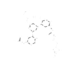 COC(=O)Nc1cc(-c2cc(-c3cc(NC(=O)NCCC4CN(C)C4)cnc3C)cc(OCCO)n2)ccn1